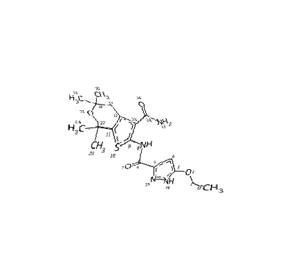 CCOc1cc(C(=O)Nc2sc3c(c2C(N)=O)CC(C)(C)OC3(C)C)n[nH]1